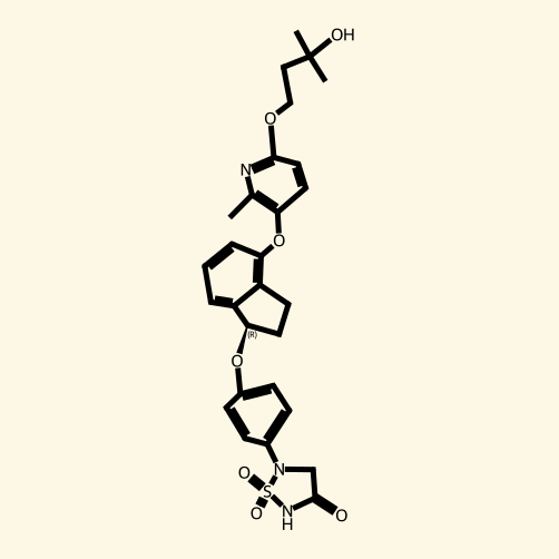 Cc1nc(OCCC(C)(C)O)ccc1Oc1cccc2c1CC[C@H]2Oc1ccc(N2CC(=O)NS2(=O)=O)cc1